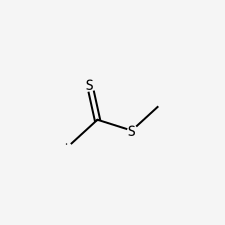 [CH2]C(=S)SC